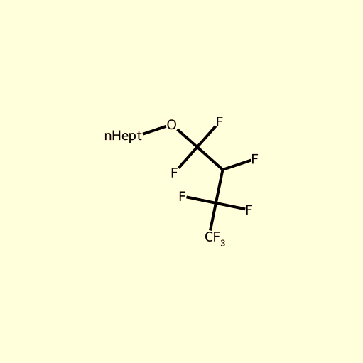 CCCCCCCOC(F)(F)C(F)C(F)(F)C(F)(F)F